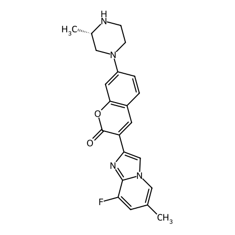 Cc1cc(F)c2nc(-c3cc4ccc(N5CCN[C@@H](C)C5)cc4oc3=O)cn2c1